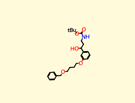 CC(C)(C)OC(=O)NCCC(O)c1cccc(OCCCCOCc2ccccc2)c1